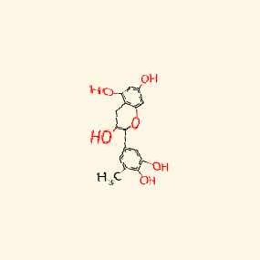 Cc1cc(C2Oc3cc(O)cc(O)c3CC2O)cc(O)c1O